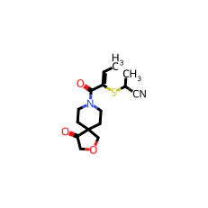 C/C=C(\SC(C)C#N)C(=O)N1CCC2(CC1)COCC2=O